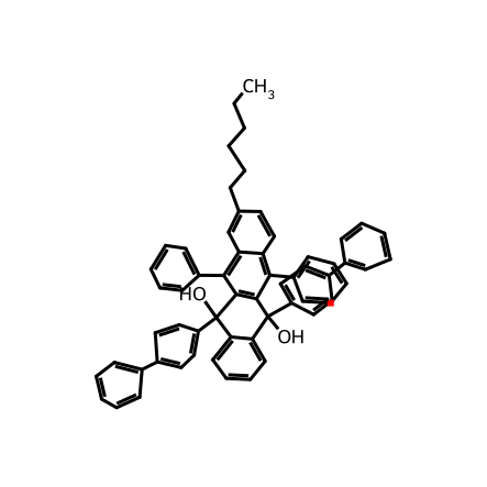 CCCCCCc1ccc2c(-c3ccccc3)c3c(c(-c4ccccc4)c2c1)C(O)(c1ccc(-c2ccccc2)cc1)c1ccccc1C3(O)c1ccc(-c2ccccc2)cc1